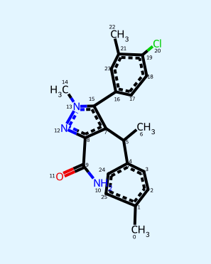 Cc1ccc(C(C)c2c(C(N)=O)nn(C)c2-c2ccc(Cl)c(C)c2)cc1